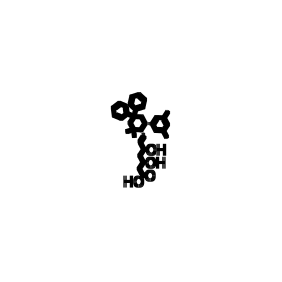 Cc1cc(C)cc([C@H]2CC(c3ccccc3)(c3ccccc3)CC(C)(C)[C@H]2C=CC(O)CC(O)CC(=O)O)c1